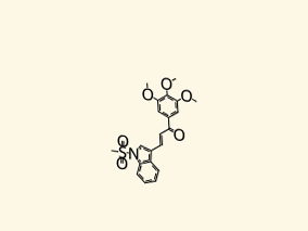 COc1cc(C(=O)/C=C/c2cn(S(C)(=O)=O)c3ccccc23)cc(OC)c1OC